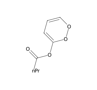 CCCC(=O)OC1=CC=COO1